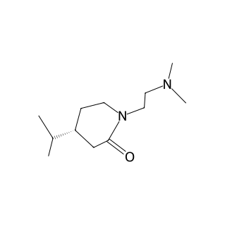 CC(C)[C@@H]1CCN(CCN(C)C)C(=O)C1